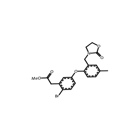 COC(=O)Cc1cc(Oc2ccc(C)cc2CN2CCOC2=O)ccc1Br